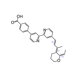 C/C=C1/OCCC/C1=C(C)\C=C\c1ccnc(-c2cc(-c3ccc(C(=O)O)cc3)ccn2)c1